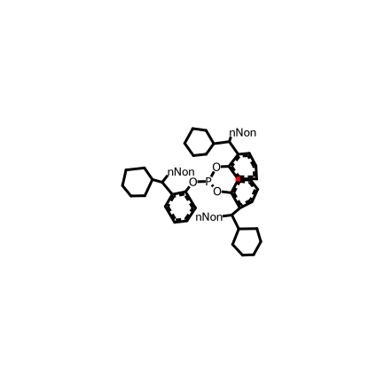 CCCCCCCCCC(c1ccccc1OP(Oc1ccccc1C(CCCCCCCCC)C1CCCCC1)Oc1ccccc1C(CCCCCCCCC)C1CCCCC1)C1CCCCC1